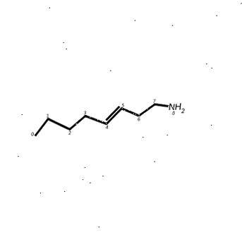 CCCCC=CCCN